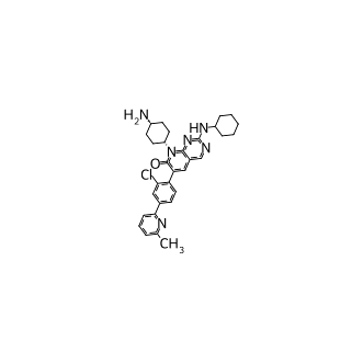 Cc1cccc(-c2ccc(-c3cc4cnc(NC5CCCCC5)nc4n([C@H]4CC[C@H](N)CC4)c3=O)c(Cl)c2)n1